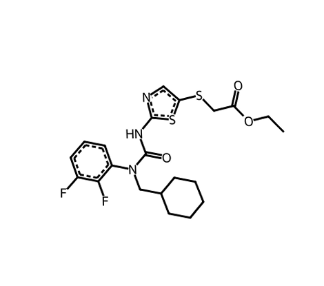 CCOC(=O)CSc1cnc(NC(=O)N(CC2CCCCC2)c2cccc(F)c2F)s1